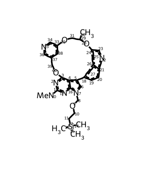 CNc1nc2c3c(cn(COCC[Si](C)(C)C)c3n1)-c1ccc3ncc(cc3c1)OC(C)COc1cncc(c1)CO2